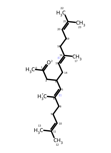 CC(=O)CC(/C=C(\C)CCC=C(C)C)C/C=C(\C)CCC=C(C)C